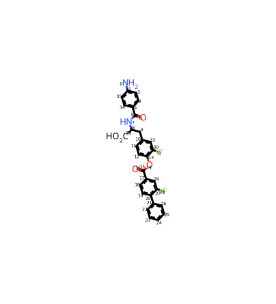 Nc1ccc(C(=O)NC(Cc2ccc(OC(=O)c3ccc(-c4ccccc4)c(F)c3)c(F)c2)C(=O)O)cc1